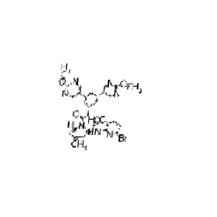 COc1ncc(-c2cc(CC(=O)N3[C@H](C(=O)Nc4nc(Br)ccc4C)C[C@@]4(C)C[C@@H]34)cc(-c3cnc(OC)nc3)c2)cn1